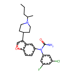 CCCC(C)N1CCC(c2coc3ccc(N(C(N)=O)c4cc(F)cc(Cl)c4)cc23)CC1